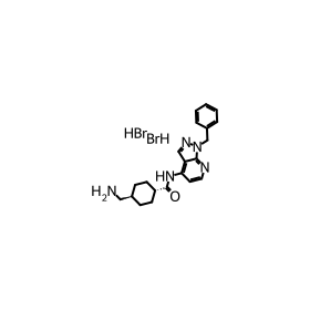 Br.Br.NC[C@H]1CC[C@H](C(=O)Nc2ccnc3c2cnn3Cc2ccccc2)CC1